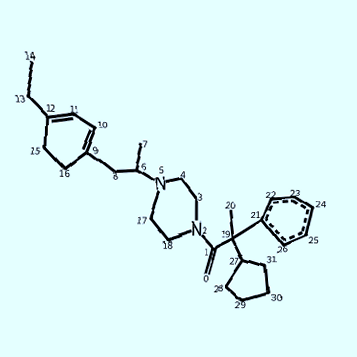 C=C(N1CCN(C(C)CC2=CC=C(CC)CC2)CC1)C(C)(c1ccccc1)C1CCCC1